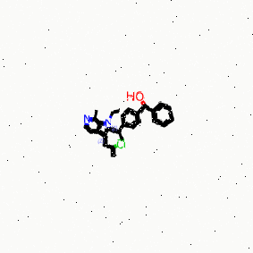 C=C(Cl)/C=c1\c(=C(/C)c2ccc(C(O)c3ccccc3)cc2)n(CC)c2c(C)nccc12